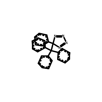 c1ccc(C2(C(c3ccccc3)(c3ccccc3)c3ccccc3)N=NN=N2)cc1